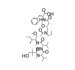 CC[C@H](C)[C@@H]([C@@H](CC(=O)N1CCC[C@H]1[C@H](OC)[C@@H](C)C(=O)N[C@@H](Cc1ccccc1)C(=O)O)OC)N(C)C(=O)[C@@H](NC(=O)C(C(C)C)N(C)C(=O)C(C)(C)CO)C(C)C